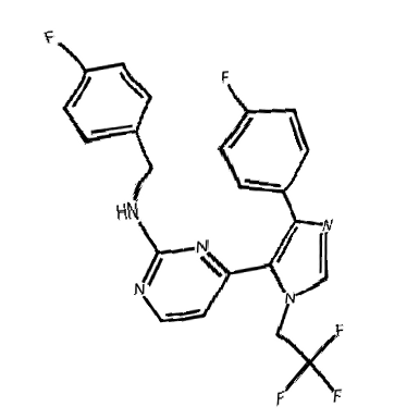 Fc1ccc(CNc2nccc(-c3c(-c4ccc(F)cc4)ncn3CC(F)(F)F)n2)cc1